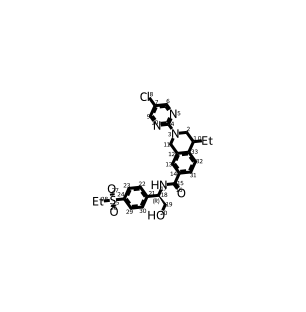 CCC1CN(c2ncc(Cl)cn2)Cc2cc(C(=O)N[C@@H](CO)c3ccc(S(=O)(=O)CC)cc3)ccc21